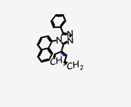 C=C/C=C(\C=C)c1nnc(-c2ccccc2)n1-c1cccc2ccccc12